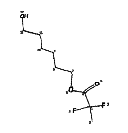 CC(F)(F)C(=O)OCCCCCCO